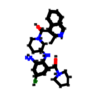 Cc1ncc2ccccc2c1C(=O)N1CCC[C@@H](Nc2c(N)cc(Br)cc2C(=O)N2CCCCC2)C1